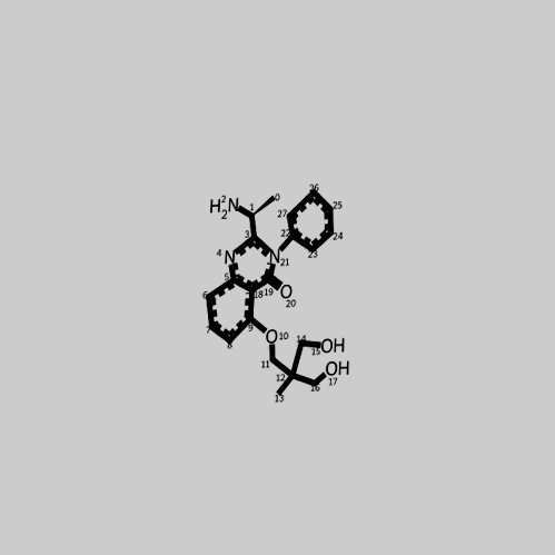 C[C@H](N)c1nc2cccc(OCC(C)(CO)CO)c2c(=O)n1-c1ccccc1